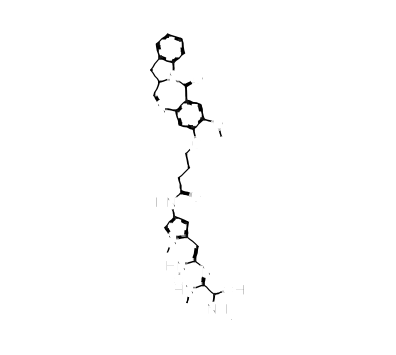 CN/C(=N\C(=Cc1cc(NC(=O)CCCOc2cc3c(cc2OC)C(=O)N2c4ccccc4CC2C=N3)cn1C)NO)C(N)O